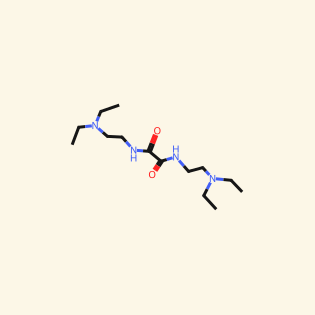 CCN(CC)CCNC(=O)C(=O)NCCN(CC)CC